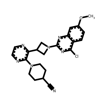 COc1ccc2c(Cl)nc(N3CC(c4nccnc4N4CCC(C#N)CC4)C3)nc2c1